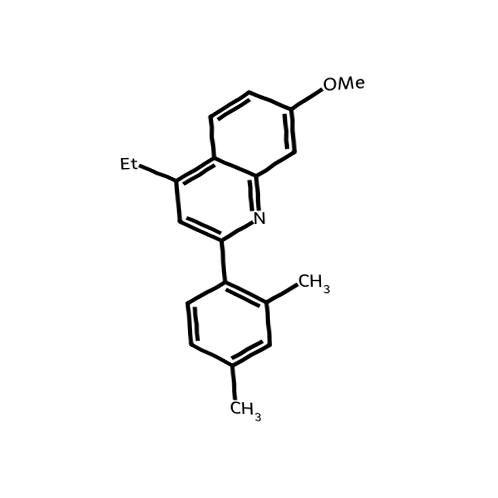 CCc1cc(-c2ccc(C)cc2C)nc2cc(OC)ccc12